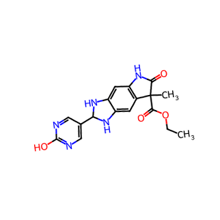 CCOC(=O)C1(C)C(=O)Nc2cc3c(cc21)NC(c1cnc(O)nc1)N3